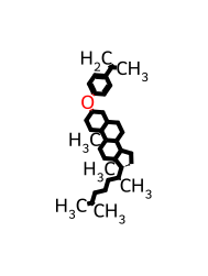 C=C(C)c1ccc(OC2CC[C@@]3(C)C(CCC4C3CC[C@@]3(C)C4CC[C@@H]3[C@H](C)CCCC(C)C)C2)cc1